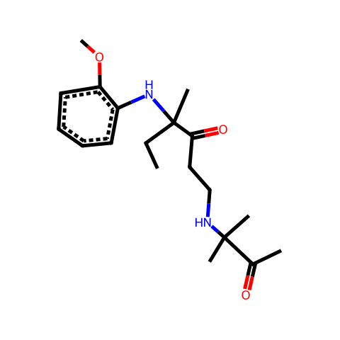 CCC(C)(Nc1ccccc1OC)C(=O)CCNC(C)(C)C(C)=O